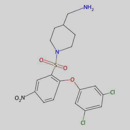 NCC1CCN(S(=O)(=O)c2cc([N+](=O)[O-])ccc2Oc2cc(Cl)cc(Cl)c2)CC1